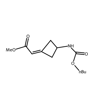 CCCCOC(=O)NC1CC(=CC(=O)OC)C1